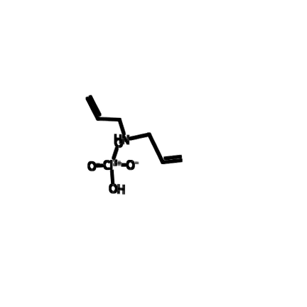 C=CCNCC=C.[O-][Cl+3]([O-])([O-])O